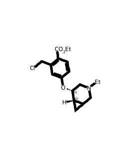 CCOC(=O)c1ccc(O[C@@H]2CN(CC)CC3C[C@@H]32)cc1CCl